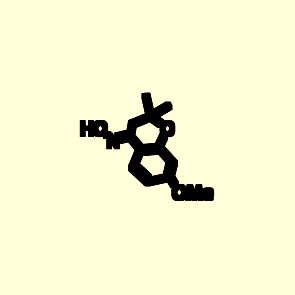 COc1ccc2c(c1)OC(C)(C)CC2=NO